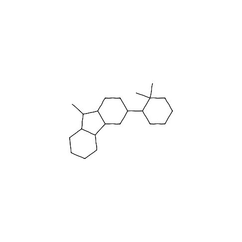 CC1C2CCCCC2C2CC(C3CCCCC3(C)C)CCC12